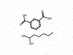 CCCCCC(O)O.O=C(O)c1cccc(C(=O)O)c1